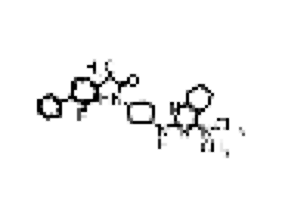 CC(C(=O)N[C@H]1CC[C@@H](Nc2nc3c(c(N(C)C)n2)CCCC3)CC1)c1ccc(-c2ccccc2)c(F)c1